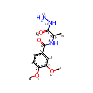 COc1ccc(C(=O)N[C@H](C)C(=O)NN)cc1OC